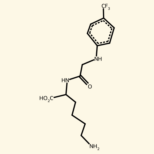 NCCCCC(NC(=O)CNc1ccc(C(F)(F)F)cc1)C(=O)O